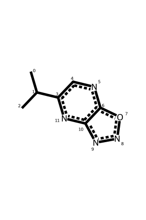 CC(C)c1cnc2onnc2n1